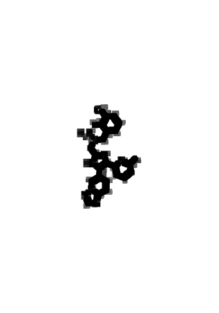 BN(Cc1nc(-c2cccc(C)n2)c(-c2ccc3ncnn3c2)[nH]1)Cc1cccc(Cl)c1C